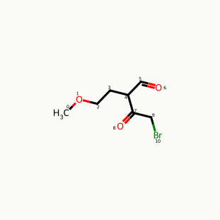 COCCC(C=O)C(=O)CBr